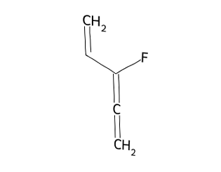 C=C=C(F)C=C